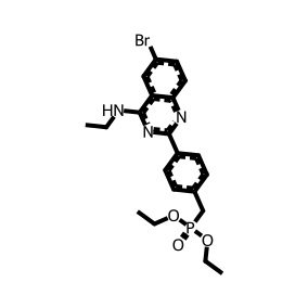 CCNc1nc(-c2ccc(CP(=O)(OCC)OCC)cc2)nc2ccc(Br)cc12